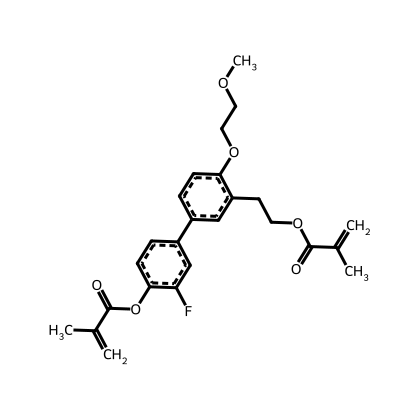 C=C(C)C(=O)OCCc1cc(-c2ccc(OC(=O)C(=C)C)c(F)c2)ccc1OCCOC